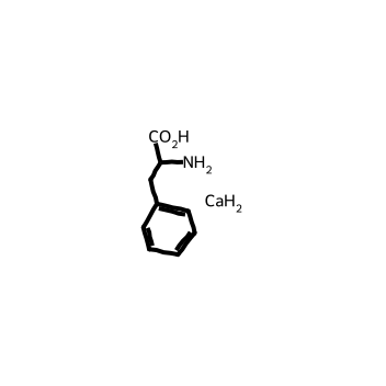 NC(Cc1ccccc1)C(=O)O.[CaH2]